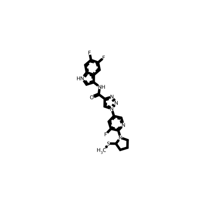 CSC1CCCN1c1ncc(-n2cc(C(=O)Nc3c[nH]c4cc(F)c(F)cc34)nn2)cc1F